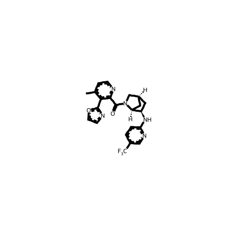 Cc1ccnc(C(=O)N2C[C@H]3C[C@@H](Nc4ccc(C(F)(F)F)cn4)[C@@H]2C3)c1-c1ncco1